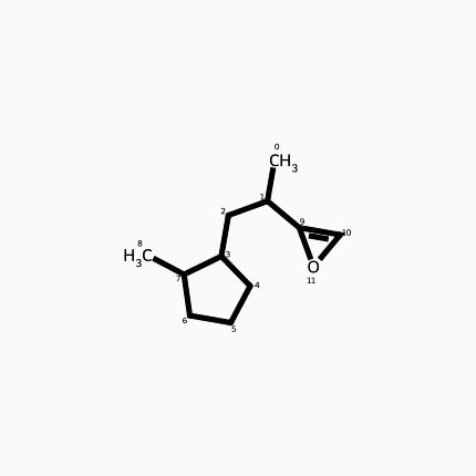 CC(CC1CCCC1C)C1=CO1